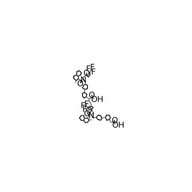 Cc1ccc2ccccc2c1C(=O)N(Cc1ccc(-c2cccc(C(CCc3cc(CN(Cc4ccc(-c5cccc(CC(=O)O)c5)cc4)C(=O)c4c(C)ccc5ccccc45)oc3C(F)(F)F)C(=O)O)c2)cc1)Cc1ccc(C(F)(F)F)o1